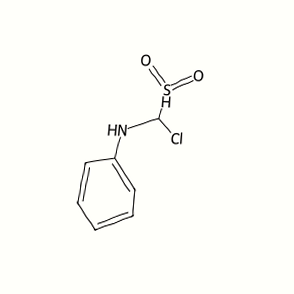 O=[SH](=O)C(Cl)Nc1ccccc1